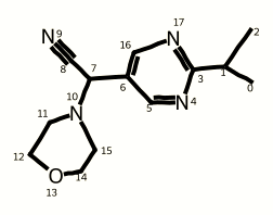 CC(C)c1ncc(C(C#N)N2CCOCC2)cn1